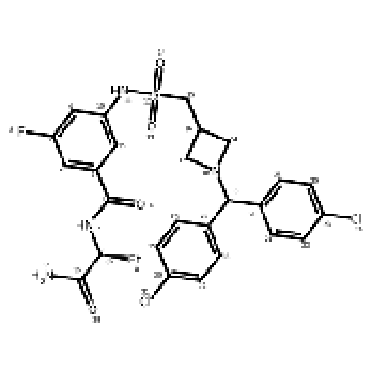 CC[C@H](NC(=O)c1cc(F)cc(NS(=O)(=O)CC2CN(C(c3ccc(Cl)cc3)c3ccc(Cl)cc3)C2)c1)C(N)=O